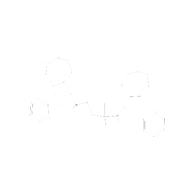 CC(C)(CCC(=O)[N+]([O-])(C1CCCNCC1)S(=O)(=O)c1ccccn1)C(=O)[N+]([O-])(C1CCCNCC1)S(=O)(=O)c1ccccn1